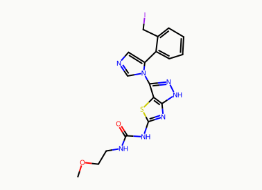 COCCNC(=O)Nc1nc2[nH]nc(-n3cncc3-c3ccccc3CI)c2s1